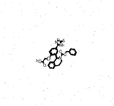 O=C(O)COc1ccc(-c2noc(=S)[nH]2)cc1C1c2ccccc2CCN1C(=O)OCc1ccccc1